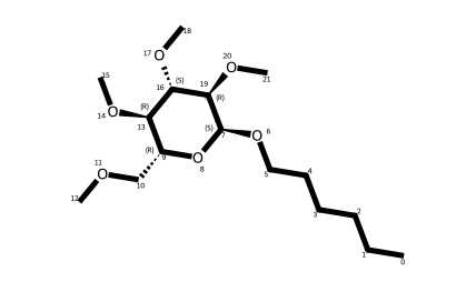 CCCCCCO[C@H]1O[C@H](COC)[C@@H](OC)[C@H](OC)[C@H]1OC